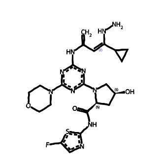 C=C(/C=C(\NN)C1CC1)Nc1nc(N2CCOCC2)nc(N2C[C@@H](O)C[C@H]2C(=O)Nc2ncc(F)s2)n1